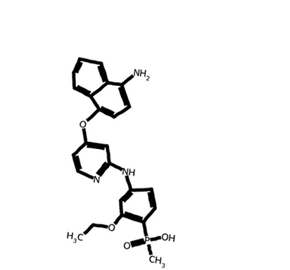 CCOc1cc(Nc2cc(Oc3ccc(N)c4ccccc34)ccn2)ccc1P(C)(=O)O